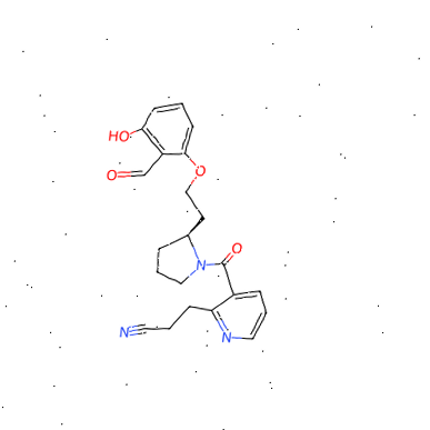 N#CCCc1ncccc1C(=O)N1CCC[C@H]1CCOc1cccc(O)c1C=O